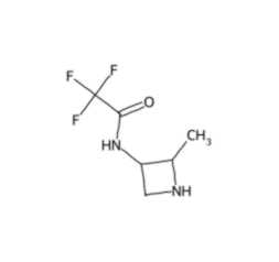 CC1NCC1NC(=O)C(F)(F)F